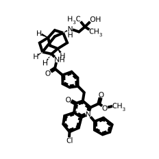 COC(=O)c1c(Cc2ccc(C(=O)N[C@@H]3[C@@H]4C[C@@H]5C[C@H]3C[C@@](NCC(C)(C)O)(C5)C4)cc2)c(=O)c2ccc(Cl)cc2n1-c1ccccc1